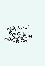 CCCCCCOC(C)=O.O=C(CO)[C@H](O)[C@@H](O)[C@H](O)CO